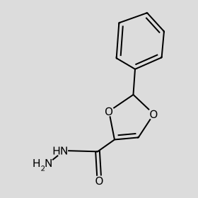 NNC(=O)C1=COC(c2ccccc2)O1